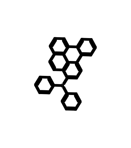 c1ccc(B(c2ccccc2)c2ccc3c4ccccc4c4cccc5ccc2c3c54)cc1